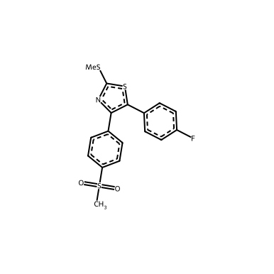 CSc1nc(-c2ccc(S(C)(=O)=O)cc2)c(-c2ccc(F)cc2)s1